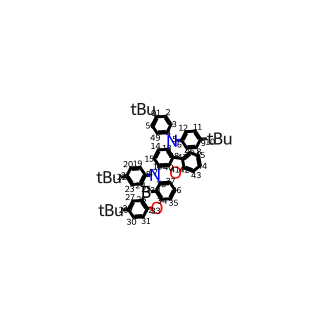 CC(C)(C)c1ccc(N(c2ccc(C(C)(C)C)cc2)c2ccc(N3c4ccc(C(C)(C)C)cc4B4c5cc(C(C)(C)C)ccc5Oc5cccc3c54)c3oc4ccccc4c23)cc1